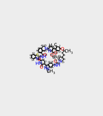 Cc1cc(O[C@H](C)CCC2CCN(CC(=O)Nc3ccc4c(C5CCC(=O)NC5=O)nn(C)c4c3)CC2)ccc1-c1ccc(N2CCc3cccc(C(=O)Nc4nc5ccccc5s4)c3C2)nc1C(=O)OC(C)(C)C